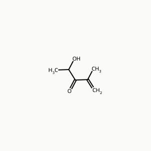 C=C(C)C(=O)C(C)O